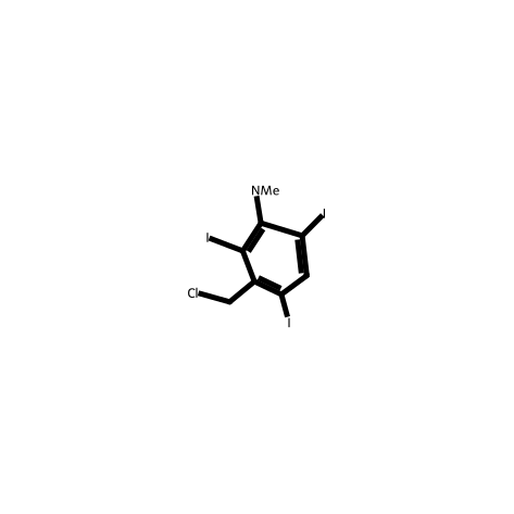 CNc1c(I)cc(I)c(CCl)c1I